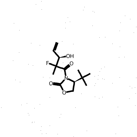 C=C[C@@H](O)C(C)(F)C(=O)N1C(=O)OC[C@@H]1C(C)(C)C